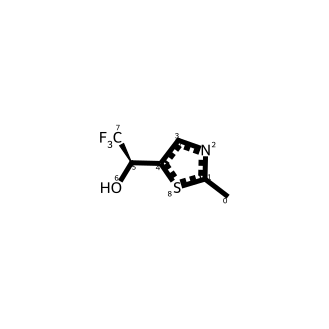 Cc1ncc([C@@H](O)C(F)(F)F)s1